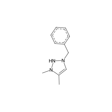 CC1=CN(Cc2ccccc2)NN1C